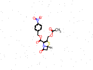 CC(=O)OCC1=C(C(=O)OCc2ccc([N+](=O)[O-])cc2)N2C(=O)C[C@H]2S1